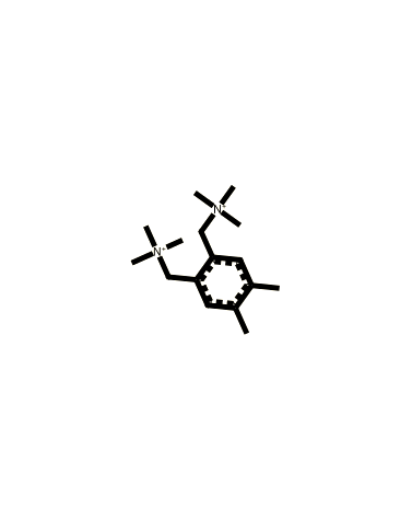 Cc1cc(C[N+](C)(C)C)c(C[N+](C)(C)C)cc1C